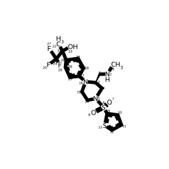 CNC[C@H]1CN(S(=O)(=O)c2cccs2)CCN1c1ccc(C(C)(O)C(F)(F)F)cc1